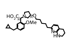 COc1ccc(CC2CC2)cc1[C@H](C(=O)O)N1CC[C@@H](OCCCCCc2ccc3c(n2)NCCC3)C1